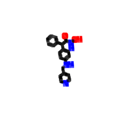 O=C(NO)C(c1ccccc1)c1ccc(NCc2ccncc2)cc1